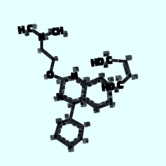 CN(C)CCOc1nc(-c2ccccc2)c2ccccc2n1.O=C(O)/C=C\C(=O)O